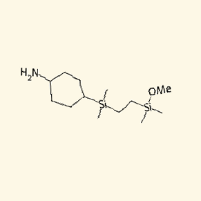 CO[Si](C)(C)CC[Si](C)(C)C1CCC(N)CC1